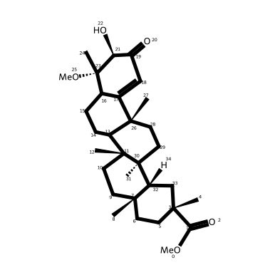 COC(=O)[C@]1(C)CC[C@]2(C)CC[C@]3(C)C4CCC5C(=CC(=O)[C@H](O)[C@@]5(C)OC)[C@]4(C)CC[C@@]3(C)[C@@H]2C1